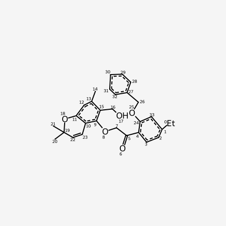 CCc1ccc(C(=O)COc2c3c(cc(C)c2CO)OC(C)(C)C=C3)c(OCc2ccccc2)c1